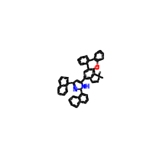 CC1(C)C=Cc2c(C3=CC(c4cccc5ccccc45)=NC(c4cccc5ccccc45)N3)cc3c(c21)Oc1ccccc1-c1ccccc1-3